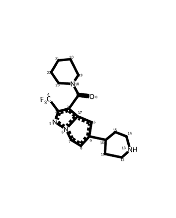 O=C(c1c(C(F)(F)F)nn2ccc(C3CCNCC3)cc12)N1CCCCC1